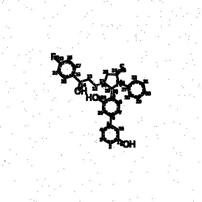 Oc1cccc(-c2ccc([C@@H]3[C@H](CCC(O)c4ccc(F)cc4)CC(=S)N3c3ccccc3)c(O)c2)c1